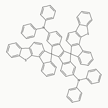 c1ccc(N(c2ccccc2)c2ccc3c(c2)C2(C4=C3C3(c5cc(N(c6ccccc6)c6ccccc6)ccc54)c4ccccc4-c4c3ccc3c4sc4ccccc43)c3ccccc3-c3c2ccc2c3sc3ccccc32)cc1